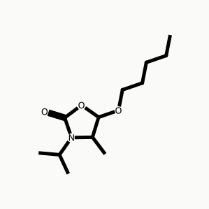 CCCCCOC1OC(=O)N(C(C)C)C1C